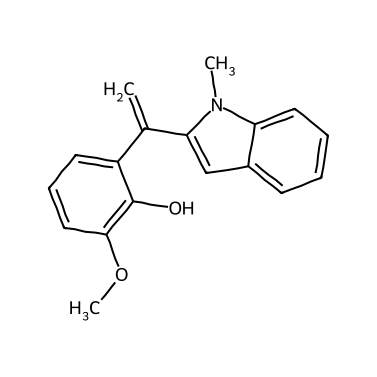 C=C(c1cccc(OC)c1O)c1cc2ccccc2n1C